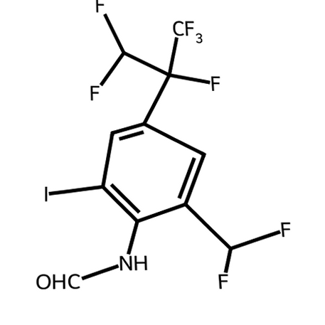 O=CNc1c(I)cc(C(F)(C(F)F)C(F)(F)F)cc1C(F)F